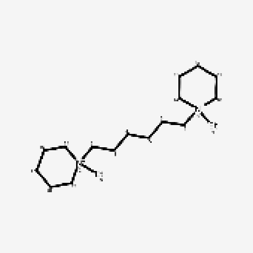 CC[N+]1(CCCCCC[N+]2(CC)CCCCC2)CCCCC1